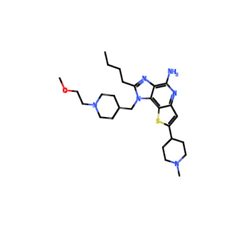 CCCCc1nc2c(N)nc3cc(C4CCN(C)CC4)sc3c2n1CC1CCN(CCOC)CC1